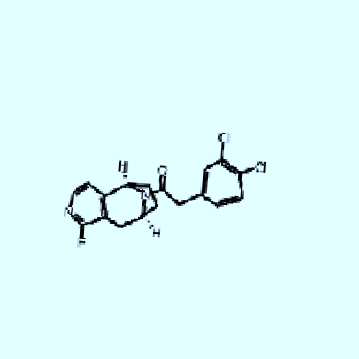 O=C(Cc1ccc(Cl)c(Cl)c1)N1[C@H]2CC[C@@H]1c1ccnc(F)c1C2